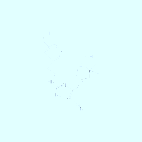 CC1(C)C[C@H](Nc2nc(NCCc3cncc(CO)c3)ncc2C#N)CC[C@@H]1O